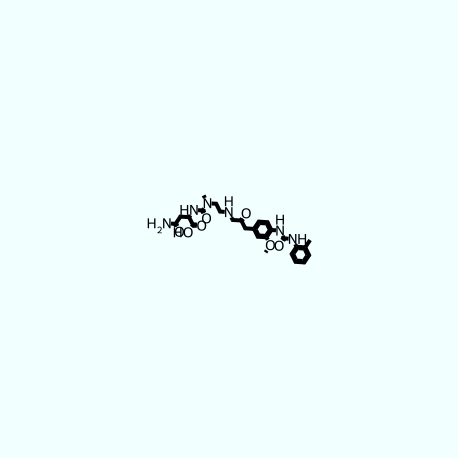 COc1cc(CC(=O)CNCCN(C)C(=O)NC(CC(N)=O)C(=O)O)ccc1NC(=O)Nc1ccccc1C